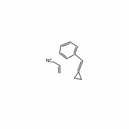 C(=C1CC1)c1ccccc1.C=CC#N